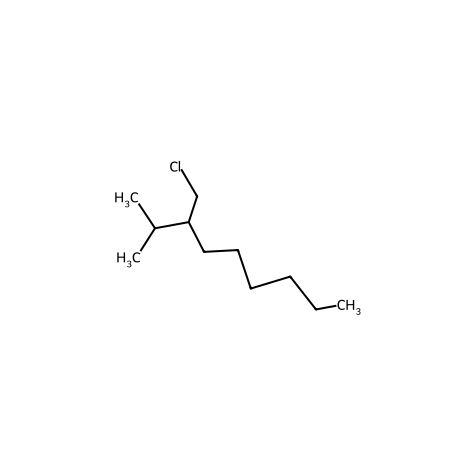 CCCCCCC(CCl)C(C)C